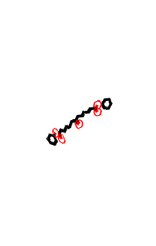 O=C(CCCCCC(=O)OC1CCCCC1)CCCCCC(=O)OC1CCCCC1